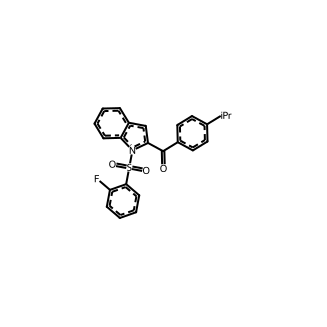 CC(C)c1ccc(C(=O)c2cc3ccccc3n2S(=O)(=O)c2ccccc2F)cc1